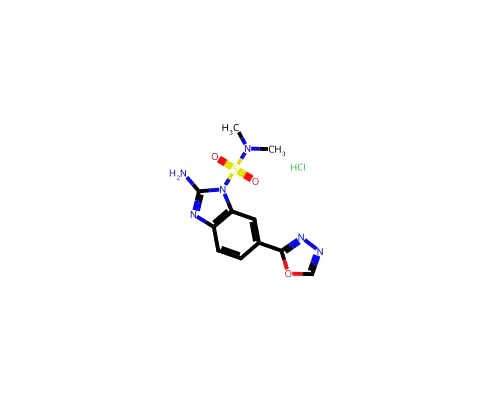 CN(C)S(=O)(=O)n1c(N)nc2ccc(-c3nnco3)cc21.Cl